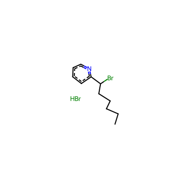 Br.CCCCCC(Br)c1ccccn1